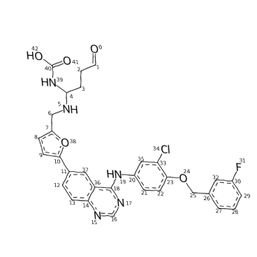 O=CCCC(NCc1ccc(-c2ccc3ncnc(Nc4ccc(OCc5cccc(F)c5)c(Cl)c4)c3c2)o1)NC(=O)O